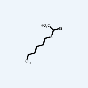 CCC(SCCCCCC(F)(F)F)C(=O)O